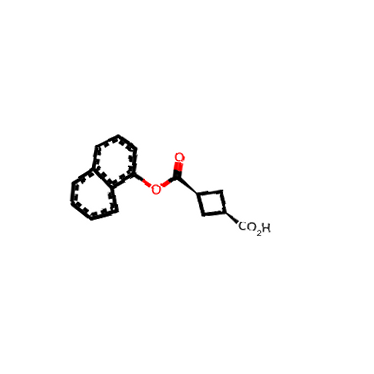 O=C(O)[C@H]1C[C@@H](C(=O)Oc2cccc3ccccc23)C1